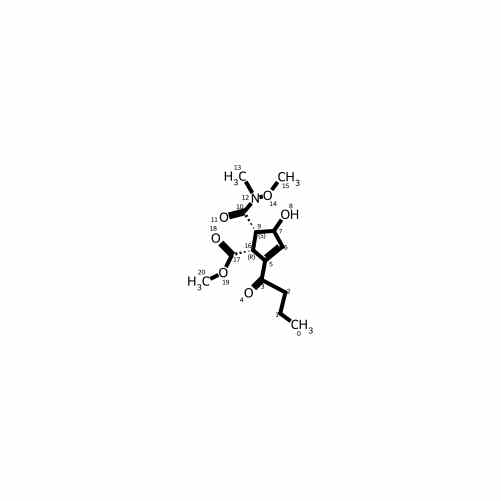 CCCC(=O)C1=CC(O)[C@@H](C(=O)N(C)OC)[C@H]1C(=O)OC